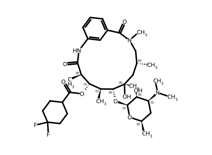 C[C@H]1CN(C)C(=O)c2cccc(c2)NC(=O)[C@H](C)[C@@H](OC(=O)C2CCC(F)(F)CC2)[C@H](C)[C@@H](O[C@@H]2O[C@H](C)C[C@H](N(C)C)[C@H]2O)[C@](C)(O)C1